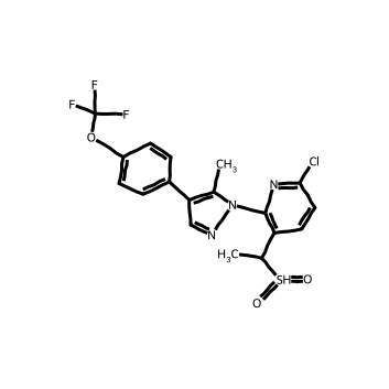 Cc1c(-c2ccc(OC(F)(F)F)cc2)cnn1-c1nc(Cl)ccc1C(C)[SH](=O)=O